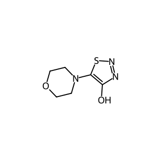 Oc1nnsc1N1CCOCC1